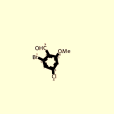 COc1cc(Cl)cc(Br)c1C=O